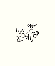 CC(=O)c1cc([N+](=O)[O-])cc([N+](=O)[O-])c1.CC(O)c1cc(N)cc(N)c1